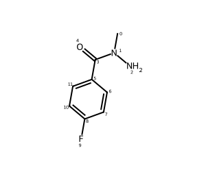 CN(N)C(=O)c1ccc(F)cc1